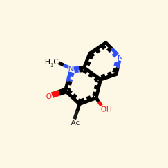 CC(=O)c1c(O)c2cnccc2n(C)c1=O